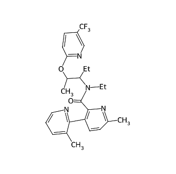 CCC(C(C)Oc1ccc(C(F)(F)F)cn1)N(CC)C(=O)c1nc(C)ccc1-c1ncccc1C